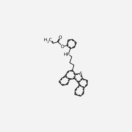 C=CC(=O)Oc1ccccc1PCCCc1cc2ccccc2c2c1sc1ccc3ccccc3c12